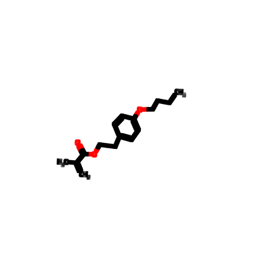 C=C(C)C(=O)OCCc1ccc(OCCCC)cc1